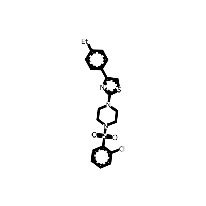 CCc1ccc(-c2csc(N3CCN(S(=O)(=O)c4ccccc4Cl)CC3)n2)cc1